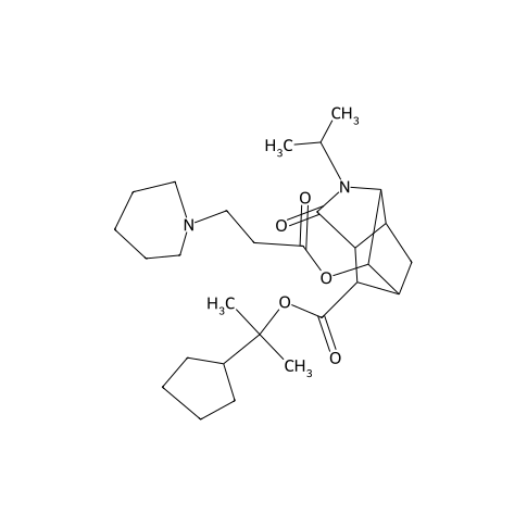 CC(C)N1C(=O)C2C3CC(C(OC(=O)CCN4CCCCC4)C31)C2C(=O)OC(C)(C)C1CCCC1